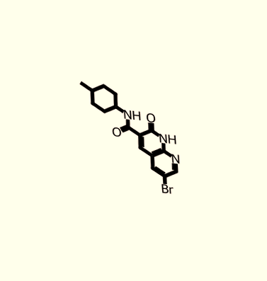 CC1CCC(NC(=O)c2cc3cc(Br)cnc3[nH]c2=O)CC1